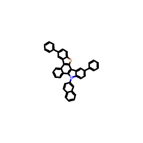 c1ccc(-c2ccc3sc4c(c3c2)c2ccccc2c2c4c3cc(-c4ccccc4)ccc3n2-c2ccc3ccccc3c2)cc1